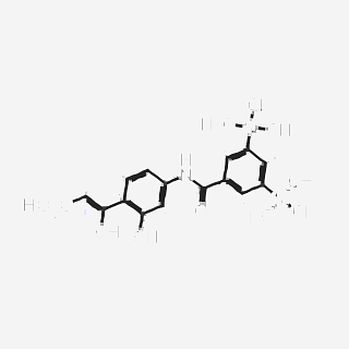 C/C(=C\C(=O)O)c1ccc(NC(=O)c2cc([Si](C)(C)C)cc([Si](C)(C)C)c2)cc1C